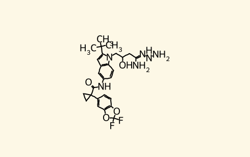 CC(C)(C)c1cc2cc(NC(=O)C3(c4ccc5c(c4)OC(F)(F)O5)CC3)ccc2n1CC(O)C/C(N)=N/NN